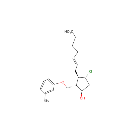 CC(C)(C)c1cccc(OC[C@@H]2[C@@H](CC=CCCCC(=O)O)[C@H](Cl)C[C@H]2O)c1